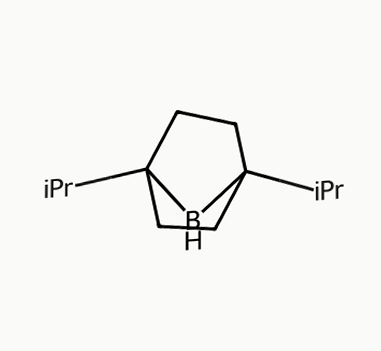 CC(C)C12BC(C(C)C)(CC1)CC2